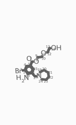 Nc1c(Br)cc(C(=O)OCCOCCO)cc1CN1CCCCCC1